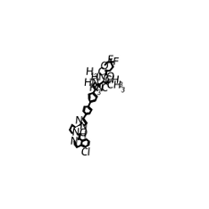 CC(C)(C)[C@H](NC(=O)[C@@]1(C)CCC(F)(F)CO1)c1nc(-c2ccc(-c3ccc(-c4c[nH]c([C@@H]5CCCN5C(=O)c5nccc6c(Cl)cccc56)n4)cc3)cc2)c[nH]1